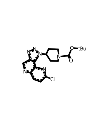 CC(C)(C)OC(=O)N1CCC(n2nnc3cnc4ccc(Cl)nc4c32)CC1